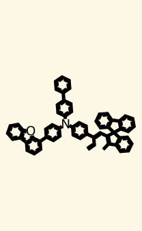 C=C/C(=C\C1=C(C)c2ccccc2C12c1ccccc1-c1ccccc12)c1ccc(N(c2ccc(-c3ccccc3)cc2)c2ccc(-c3cccc4c3oc3ccccc34)cc2)cc1